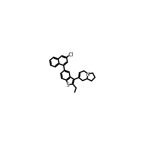 CCc1sc2ccc(-c3cc(Cl)cc4ccccc34)cc2c1C1=CCN2CCCC2C1